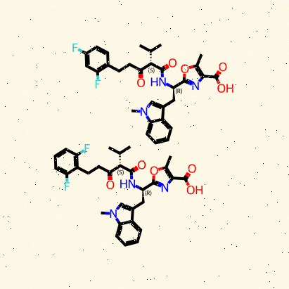 Cc1oc([C@@H](Cc2cn(C)c3ccccc23)NC(=O)[C@H](C(=O)CCc2c(F)cccc2F)C(C)C)nc1C(=O)O.Cc1oc([C@@H](Cc2cn(C)c3ccccc23)NC(=O)[C@H](C(=O)CCc2ccc(F)cc2F)C(C)C)nc1C(=O)O